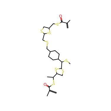 C=C(C)C(=O)SCC1CSC(CSCC2CCC(C(SC)C3SCC(C(C)SC(=O)C(=C)C)S3)CC2)S1